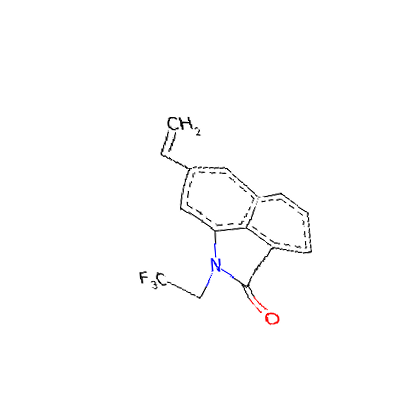 C=Cc1cc2c3c(cccc3c1)C(=O)N2CC(F)(F)F